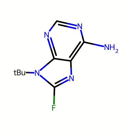 CC(C)(C)n1c(F)nc2c(N)ncnc21